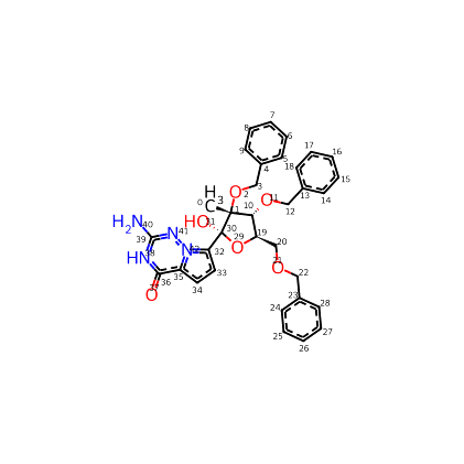 C[C@@]1(OCc2ccccc2)[C@H](OCc2ccccc2)[C@@H](COCc2ccccc2)O[C@@]1(O)c1ccc2c(=O)[nH]c(N)nn12